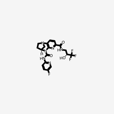 O=C(NC[C@@H](O)C(F)(F)F)c1ccc2c(n1)N(C(=O)Nc1ccc(F)cn1)[C@H]1CCN2C1